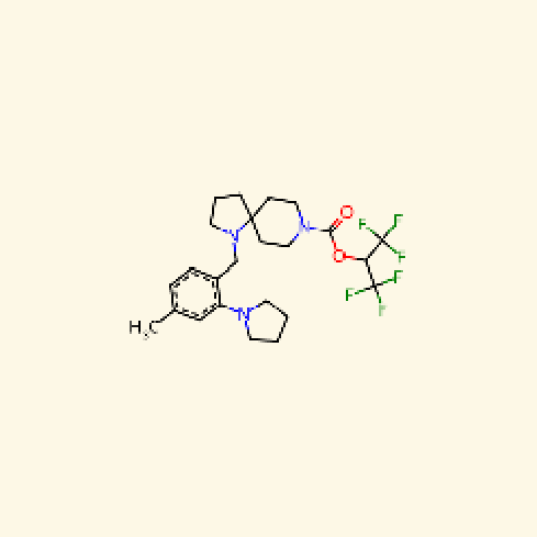 Cc1ccc(CN2CCCC23CCN(C(=O)OC(C(F)(F)F)C(F)(F)F)CC3)c(N2CCCC2)c1